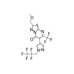 COCc1nn2c(=O)c(-c3cnn(CC(F)(F)C(F)(F)F)c3)c(C(F)(F)F)nc2s1